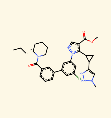 CCC[C@@H]1CCCCN1C(=O)c1cccc(-c2cc(Cl)cc(-n3ncc(C(=O)OC)c3C3CC3C3=CN(C)NN3)c2)c1